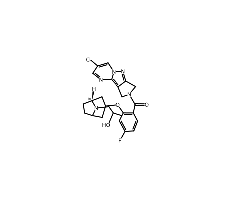 CC(O)CN1C2CC[C@@H]1CC(Oc1cc(F)ccc1C(=O)N1Cc3nn4cc(Cl)cnc4c3C1)C2